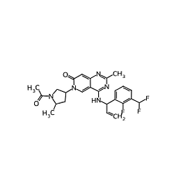 C=CC(Nc1nc(C)nc2cc(=O)n(C3CC(C)N(C(C)=O)C3)cc12)c1cccc(C(F)F)c1F